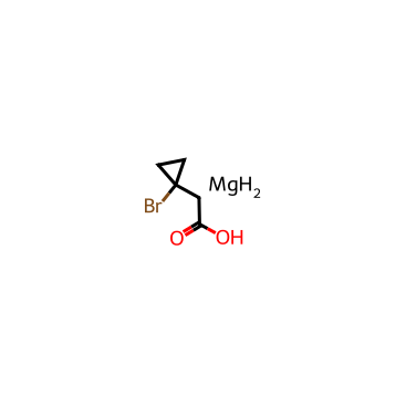 O=C(O)CC1(Br)CC1.[MgH2]